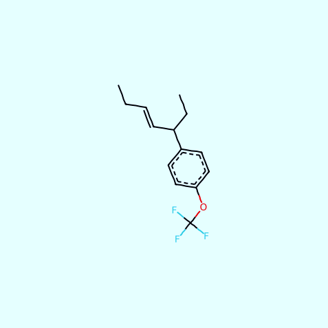 CCC=CC(CC)c1ccc(OC(F)(F)F)cc1